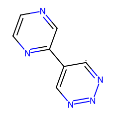 [c]1nnncc1-c1cnccn1